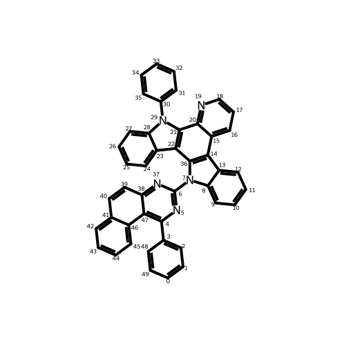 c1ccc(-c2nc(-n3c4ccccc4c4c5cccnc5c5c(c6ccccc6n5-c5ccccc5)c43)nc3ccc4ccccc4c23)cc1